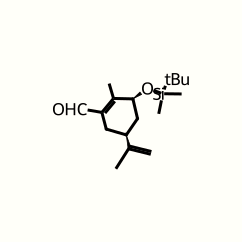 C=C(C)[C@H]1CC(C=O)=C(C)[C@@H](O[Si](C)(C)C(C)(C)C)C1